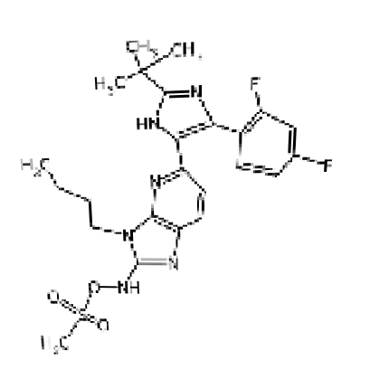 CCCCn1c(NOS(C)(=O)=O)nc2ccc(-c3[nH]c(C(C)(C)C)nc3-c3ccc(F)cc3F)nc21